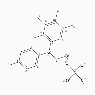 Cc1ccc([S+](CBr)c2cc(C)c(C)c(C)c2C)cc1.O=S(=O)([O-])C(F)(F)F